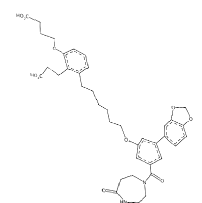 O=C(O)CCCOc1cccc(CCCCCCOc2cc(C(=O)N3CCNC(=O)CC3)cc(-c3ccc4c(c3)OCO4)c2)c1CCC(=O)O